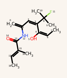 C=C(/C=C(\C(O)=C/C)C(C)(C)F)NC(=O)/C(C)=C/C